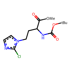 COC(=O)C(CCn1ccnc1Cl)NC(=O)OC(C)(C)C